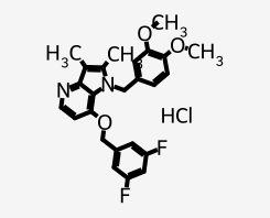 COc1ccc(Cn2c(C)c(C)c3nccc(OCc4cc(F)cc(F)c4)c32)cc1OC.Cl